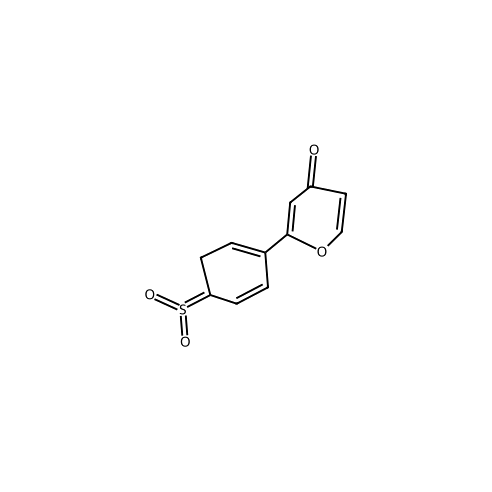 O=c1ccoc(C2=CCC(=S(=O)=O)C=C2)c1